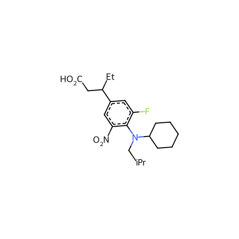 CCC(CC(=O)O)c1cc(F)c(N(CC(C)C)C2CCCCC2)c([N+](=O)[O-])c1